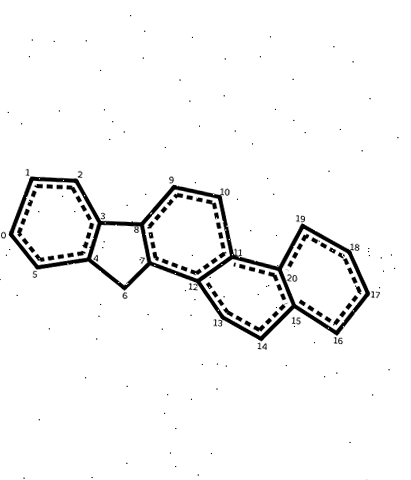 c1ccc2c(c1)Cc1c-2ccc2c1ccc1ccccc12